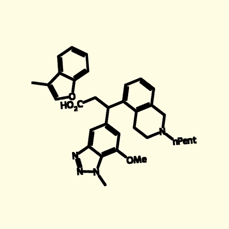 CCCCCN1CCc2c(cccc2C(CC(=O)O)c2cc(OC)c3c(c2)nnn3C)C1.Cc1coc2ccccc12